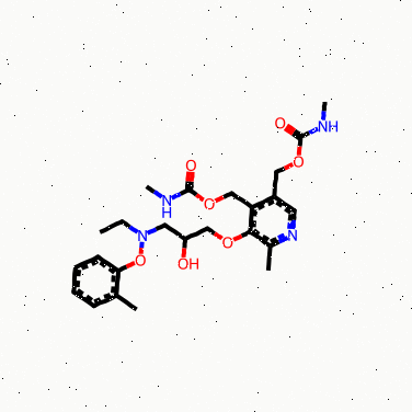 CCN(CC(O)COc1c(C)ncc(COC(=O)NC)c1COC(=O)NC)Oc1ccccc1C